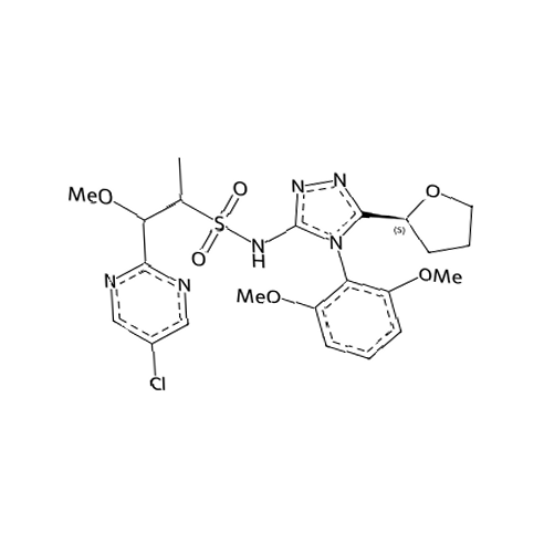 COc1cccc(OC)c1-n1c(NS(=O)(=O)C(C)C(OC)c2ncc(Cl)cn2)nnc1[C@@H]1CCCO1